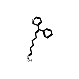 ON=CCCCC/C=C(\c1ccccc1)c1cccnc1